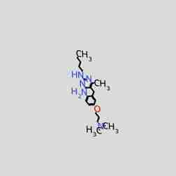 CCCCCNc1nc(C)c(Cc2cccc(OCCCN(C)C)c2)c(N)n1